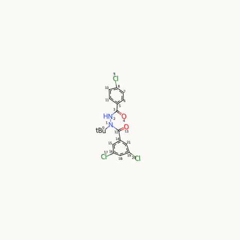 CC(C)(C)N(NC(=O)c1ccc(Cl)cc1)C(=O)c1cc(Cl)cc(Cl)c1